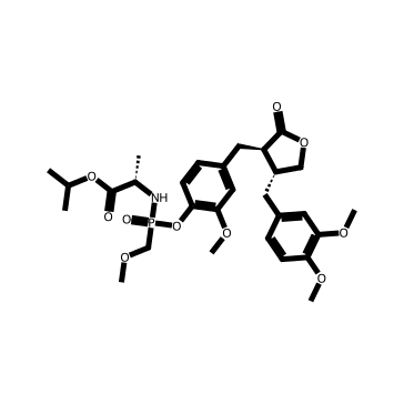 COCP(=O)(N[C@@H](C)C(=O)OC(C)C)Oc1ccc(C[C@H]2C(=O)OC[C@@H]2Cc2ccc(OC)c(OC)c2)cc1OC